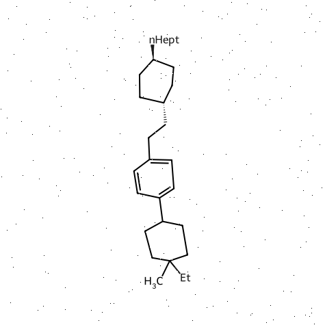 CCCCCCC[C@H]1CC[C@H](CCc2ccc(C3CCC(C)(CC)CC3)cc2)CC1